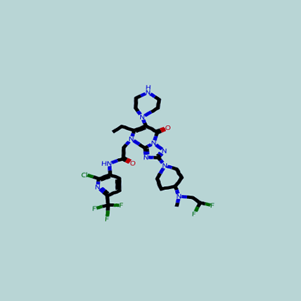 CCc1c(N2CCNCC2)c(=O)n2nc(N3CCC(N(C)CC(F)F)CC3)nc2n1CC(=O)Nc1ccc(C(F)(F)F)nc1Cl